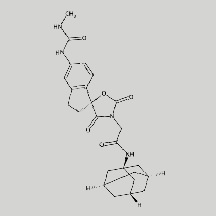 CNC(=O)Nc1ccc2c(c1)CC[C@@]21OC(=O)N(CC(=O)N[C@]23C[C@H]4C[C@H](C[C@H](C4)C2)C3)C1=O